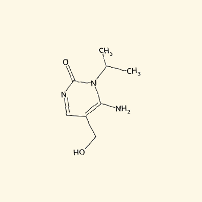 CC(C)n1c(N)c(CO)cnc1=O